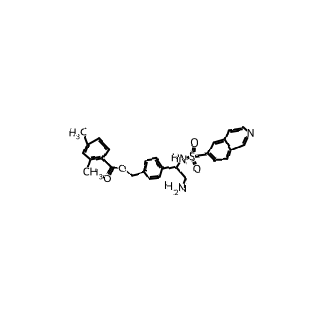 Cc1ccc(C(=O)OCc2ccc(C(CN)NS(=O)(=O)c3ccc4cnccc4c3)cc2)c(C)c1